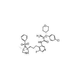 C[C@H]1CNC[C@H](CCCc2c(F)cncc2NC(=O)[C@@H](N)[C@@H](c2ccc(Cl)cc2)C2CCOCC2)N1S(=O)(=O)c1ccccc1